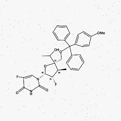 COc1ccc(C(OC[C@@]2(C(C)O)O[C@@H](n3cc(F)c(=O)[nH]c3=O)[C@@H](F)[C@@H]2C)(c2ccccc2)c2ccccc2)cc1